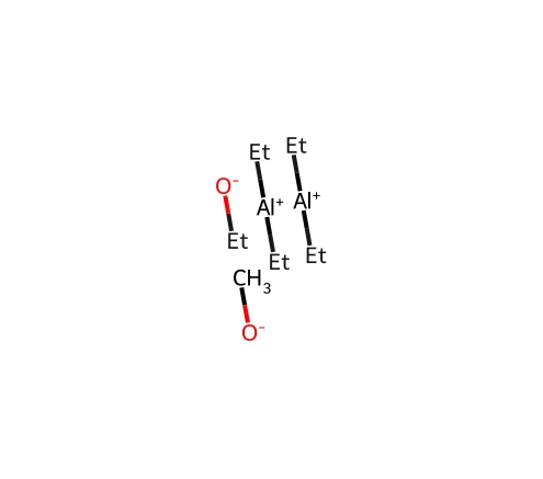 CC[O-].C[CH2][Al+][CH2]C.C[CH2][Al+][CH2]C.C[O-]